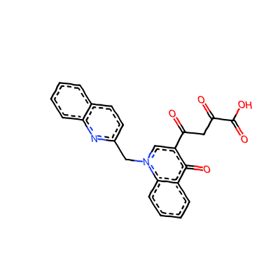 O=C(O)C(=O)CC(=O)c1cn(Cc2ccc3ccccc3n2)c2ccccc2c1=O